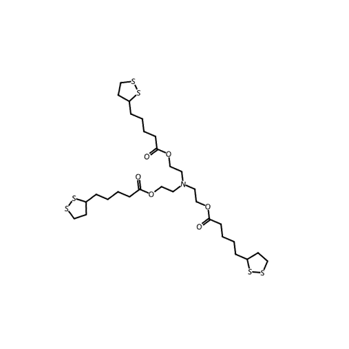 O=C(CCCCC1CCSS1)OCCN(CCOC(=O)CCCCC1CCSS1)CCOC(=O)CCCCC1CCSS1